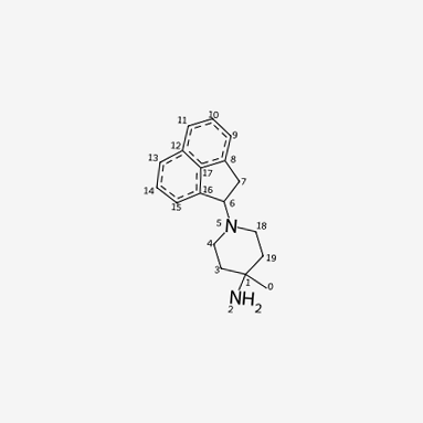 CC1(N)CCN(C2Cc3cccc4cccc2c34)CC1